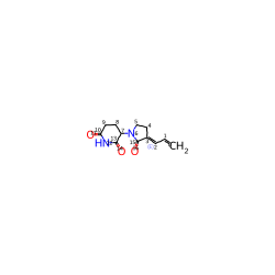 C=C/C=C1\CCN(C2CCC(=O)NC2=O)C1=O